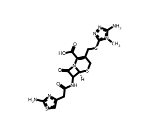 Cn1c(N)nnc1SCC1=C(C(=O)O)N2C(=O)C(NC(=O)Cc3csc(N)n3)[C@@H]2SC1